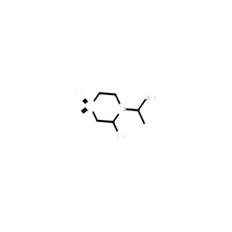 CCC1CS(=O)(=O)CCN1C(C)C(C)C